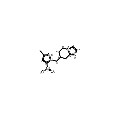 Cc1cc([N+](=O)[O-])n(CC2CCn3ccnc3C2)n1